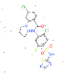 O=C(Nc1cc(F)c(S(=O)(=O)Nc2ncns2)cc1Cl)c1ccc(Cl)cc1N1CCCC1